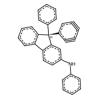 c1c#cc([C@]2(c3ccccc3)c3ccccc3-c3ccc(Nc4ccccc4)cc32)cc#1